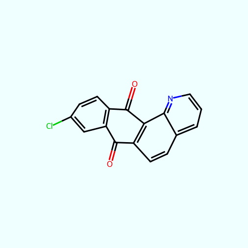 O=C1c2cc(Cl)ccc2C(=O)c2c1ccc1cccnc21